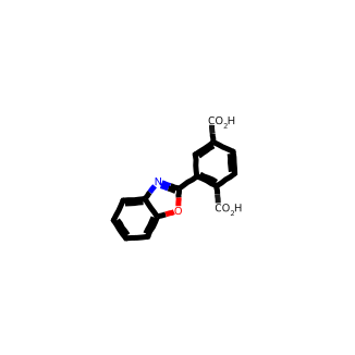 O=C(O)c1ccc(C(=O)O)c(-c2nc3ccccc3o2)c1